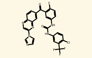 O=C(Nc1ccc(F)c(C(=O)c2ccc3ncc(-n4ccnc4)nc3c2)c1)Nc1ccc(Cl)c(C(F)(F)F)c1